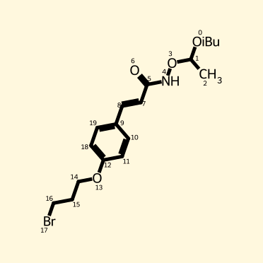 CC(C)COC(C)ONC(=O)C=Cc1ccc(OCCCBr)cc1